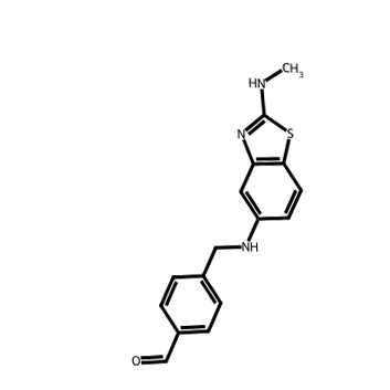 CNc1nc2cc(NCc3ccc(C=O)cc3)ccc2s1